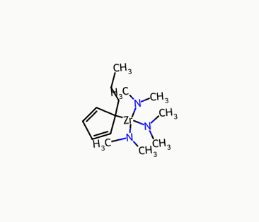 CCC[C]1([Zr]([N](C)C)([N](C)C)[N](C)C)C=CC=C1